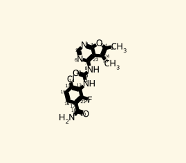 Cc1oc2ncnc(NC(=O)Nc3c(Cl)ccc(C(N)=O)c3F)c2c1C